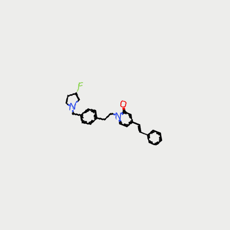 O=c1cc(/C=C/c2ccccc2)ccn1CCc1ccc(CN2CC[C@H](F)C2)cc1